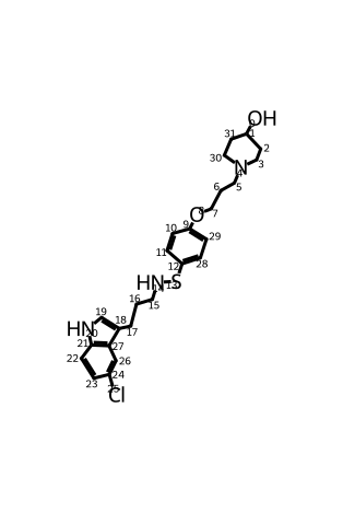 OC1CCN(CCCOc2ccc(SNCCCc3c[nH]c4ccc(Cl)cc34)cc2)CC1